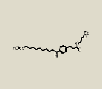 CCCCCCCCCCCCCCCCCCCNc1ccc(CCC(=O)OCCOCC)cc1